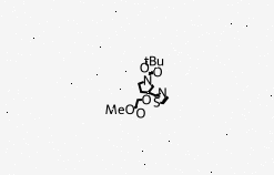 COC(=O)COC1(c2nccs2)CCN(C(=O)OC(C)(C)C)C1